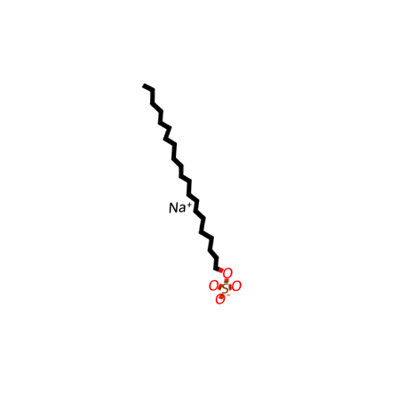 CCCCCCCCCCCCCCCCCCCCCOS(=O)(=O)[O-].[Na+]